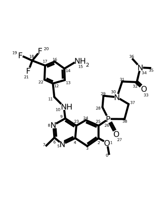 COc1cc2nc(C)nc(NCc3cc(N)cc(C(F)(F)F)c3)c2cc1P1(=O)CCN(CC(=O)N(C)C)CC1